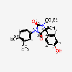 CCOC(=O)N1C(=O)N(c2ccc(C#N)c(C(F)(F)F)c2)C(=O)C1(C)c1ccc(O)cc1